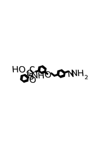 NN=Cc1ccc(CCOc2cccc(C(NS(=O)(=O)c3ccccc3)C(=O)O)c2)cc1